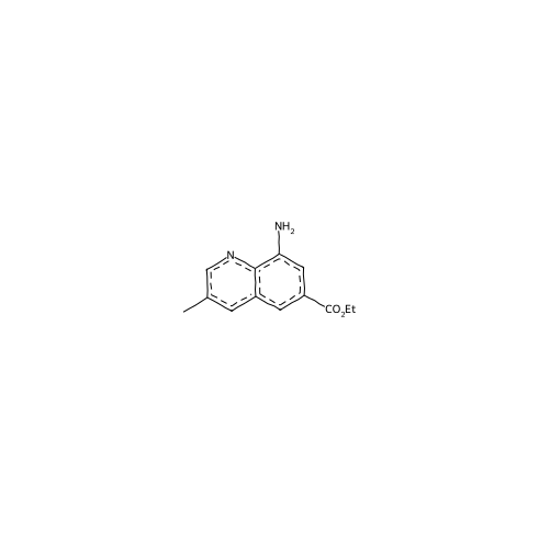 CCOC(=O)c1cc(N)c2ncc(C)cc2c1